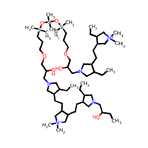 CCC(O)CN1CC(CC)C(CCC2C[N+](C)(C)CC2CCC2CN(CC(O)COCCC[Si](C)(C)O[Si](C)(C)O[Si](C)(C)CCCOCC(O)CN3CC(CC)C(CCC4C[N+](C)(C)CC4CC)C3)CC2CC)C1